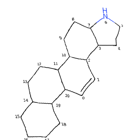 C1=CC2C3CCNC3CCC2C2CCC3CCCCC3C12